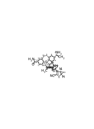 C=C(N)c1ccc2c(c1)CCc1cc(C(N)=O)ccc1C2(C[C@H](C)NCC(=O)N1C(C#N)C[C@@H]2C[C@@H]21)c1n[nH]c(=O)[nH]1